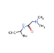 CN(C)CC(=O)NC(C=O)C(C)(C)C